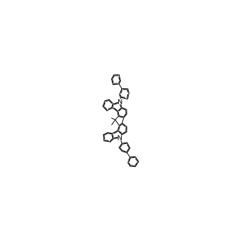 CC1(C)c2c(ccc3c2c2ccccc2n3-c2ccc(-c3ccccc3)cc2)-c2ccc3c(c21)c1ccccc1n3-c1cccc(-c2ccccc2)c1